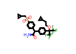 NC(=O)C(c1ccc(C(OCCC2CC2)(C(F)(F)F)C(F)(F)F)cc1)c1ccc(S(=O)(=O)CC2CC2)cc1